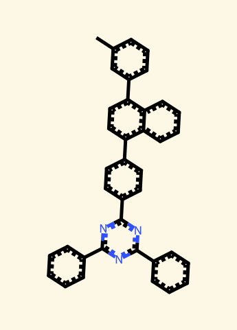 Cc1cccc(-c2ccc(-c3ccc(-c4nc(-c5ccccc5)nc(-c5ccccc5)n4)cc3)c3ccccc23)c1